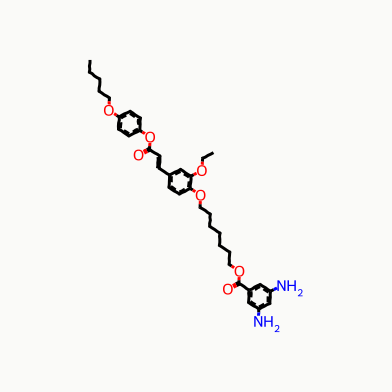 CCCCCOc1ccc(OC(=O)C=Cc2ccc(OCCCCCCCOC(=O)c3cc(N)cc(N)c3)c(OCC)c2)cc1